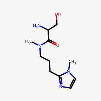 CN(CCCc1nccn1C)C(=O)C(N)CO